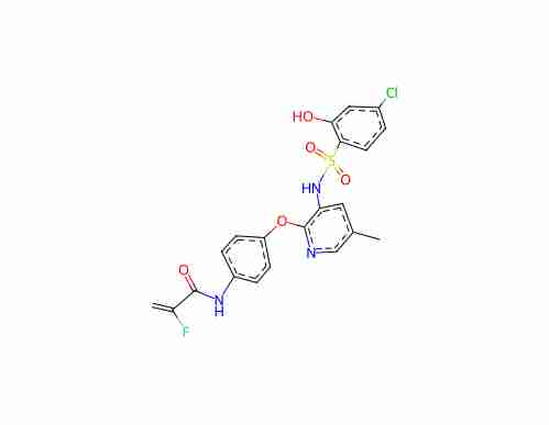 C=C(F)C(=O)Nc1ccc(Oc2ncc(C)cc2NS(=O)(=O)c2ccc(Cl)cc2O)cc1